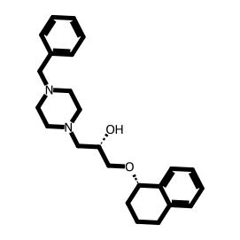 O[C@H](CO[C@H]1CCCc2ccccc21)CN1CCN(Cc2ccccc2)CC1